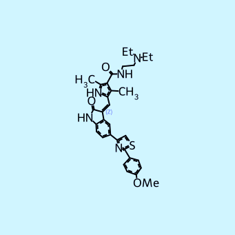 CCN(CC)CCNC(=O)c1c(C)[nH]c(/C=C2\C(=O)Nc3ccc(-c4csc(-c5ccc(OC)cc5)n4)cc32)c1C